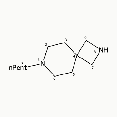 CCCCCN1CCC2(CC1)CNC2